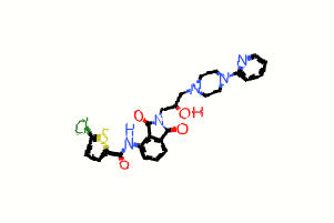 O=C(Nc1cccc2c1C(=O)N(CC(O)CN1CCN(c3ccccn3)CC1)C2=O)c1ccc(Cl)s1